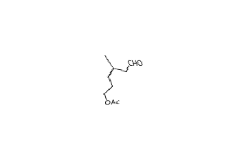 CC(=O)OCCCC(C)CC=O